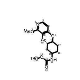 COc1nccc(OC2CCC(NC(=O)OC(C)(C)C)CC2)c1C(C)=O